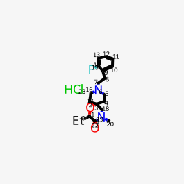 CCC1OC2(CCN(CCc3ccccc3F)CC2)CN(C)C1=O.Cl